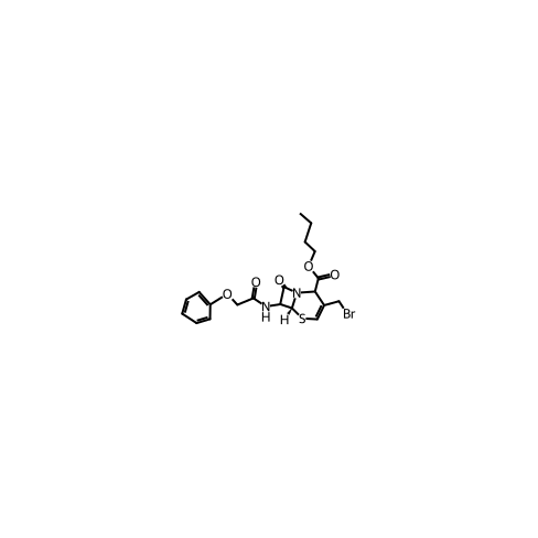 CCCCOC(=O)C1C(CBr)=CS[C@@H]2C(NC(=O)COc3ccccc3)C(=O)N12